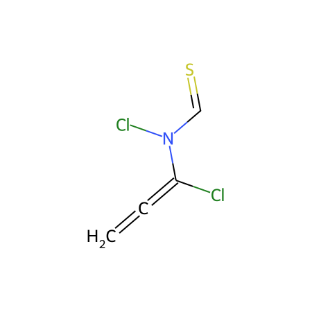 C=C=C(Cl)N(Cl)C=S